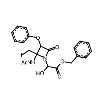 CC(=O)NC1(CI)C(Oc2ccccc2)C(=O)N1C(O)C(=O)OCc1ccccc1